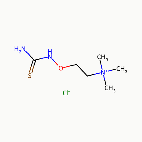 C[N+](C)(C)CCONC(N)=S.[Cl-]